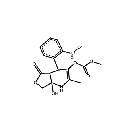 COC(=O)OC1=C(C)NC2(O)COC(=O)C2C1c1ccccc1[N+](=O)[O-]